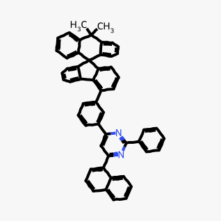 CC1(C)c2ccccc2C2(c3ccccc3-c3c(-c4cccc(-c5cc(-c6cccc7ccccc67)nc(-c6ccccc6)n5)c4)cccc32)c2ccccc21